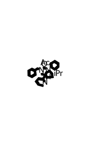 CC(=O)c1cccc(C(C)C)c1NC(=O)N(Cc1ccccc1)CC1(c2ccccn2)CCCCC1